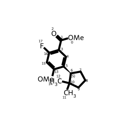 COC(=O)c1cc([C@H]2CCCC2(C)C)c(OC)cc1F